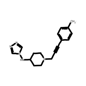 [CH2]c1ccc(C#CCN2CCC(Nn3cnnc3)CC2)cc1